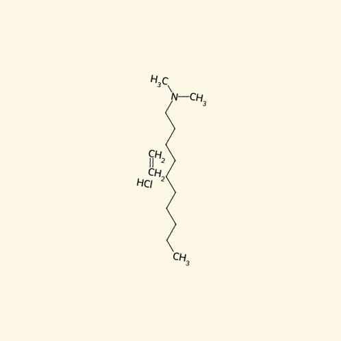 C=C.CCCCCCCCCCN(C)C.Cl